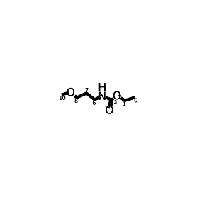 CCOC(=O)NCCCOC